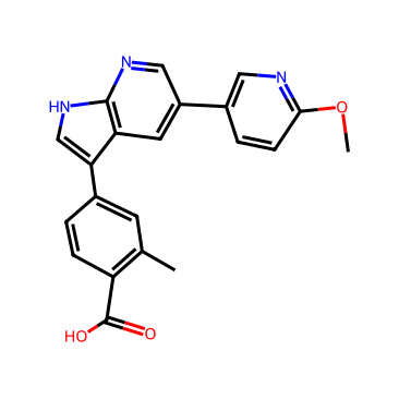 COc1ccc(-c2cnc3[nH]cc(-c4ccc(C(=O)O)c(C)c4)c3c2)cn1